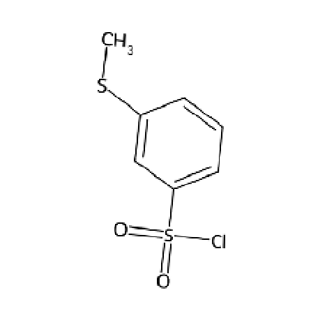 CSc1cccc(S(=O)(=O)Cl)c1